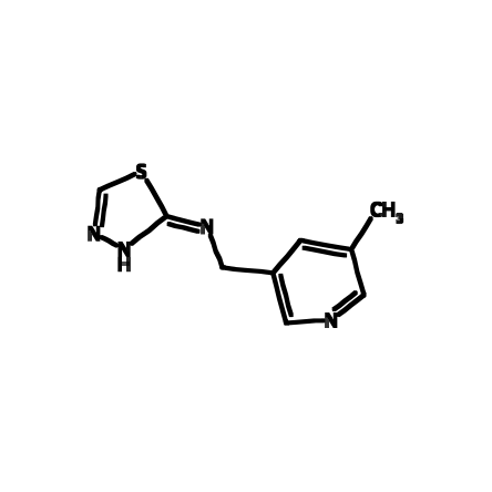 Cc1cncc(CN=c2[nH]ncs2)c1